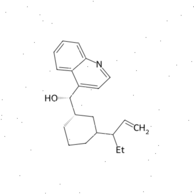 C=CC(CC)C1CCC[C@H]([C@H](O)c2ccnc3ccccc23)C1